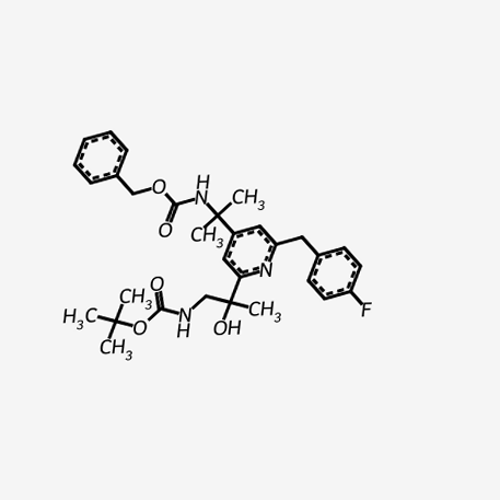 CC(C)(C)OC(=O)NCC(C)(O)c1cc(C(C)(C)NC(=O)OCc2ccccc2)cc(Cc2ccc(F)cc2)n1